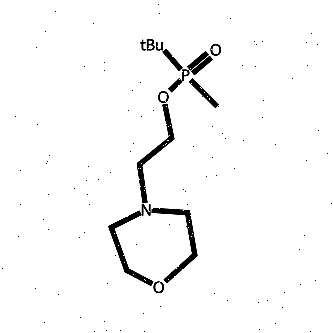 CC(C)(C)P(C)(=O)OCCN1CCOCC1